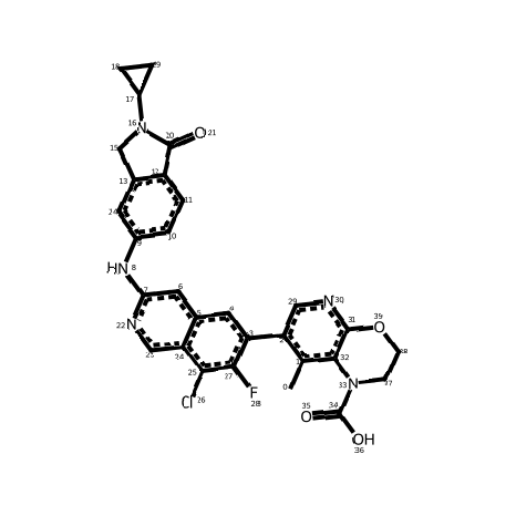 Cc1c(-c2cc3cc(Nc4ccc5c(c4)CN(C4CC4)C5=O)ncc3c(Cl)c2F)cnc2c1N(C(=O)O)CCO2